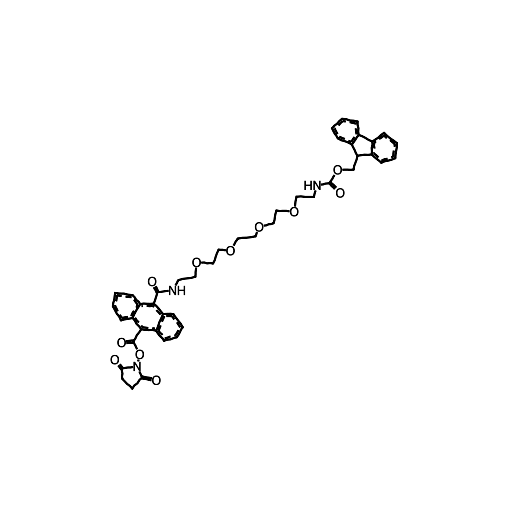 O=C(NCCOCCOCCOCCOCCNC(=O)c1c2ccccc2c(C(=O)ON2C(=O)CCC2=O)c2ccccc12)OCC1c2ccccc2-c2ccccc21